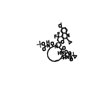 COc1ccc2nc(C3CC3)c3c(c2c1)C(F)(F)C[C@]1(CC2C(=O)NC4(C(=O)NS(=O)(=O)C5(C)CC5)CC4/C=C\CCCCC[C@H](NC(=O)OC(C)(C)C)C(=O)N2C1)O3